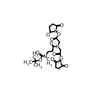 CN(CCC(=O)N(CC(=O)ON1C(=O)CCC1=O)CC(=O)ON1C(=O)CCC1=O)C(=O)OC(C)(C)C